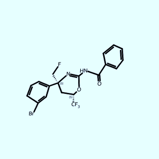 O=C(NC1=N[C@](CF)(c2cccc(Br)c2)C[C@@H](C(F)(F)F)O1)c1ccccc1